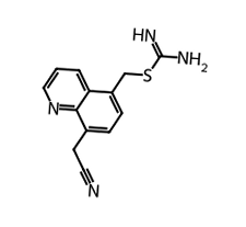 N#CCc1ccc(CSC(=N)N)c2cccnc12